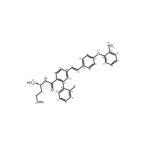 CSCC[C@H](NC(=O)c1ccc(C=Cc2ccc(Oc3ccccc3[N+](=O)[O-])cc2)cc1-c1ccccc1C)C(=O)O